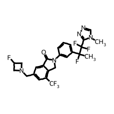 Cn1cnnc1C(F)(F)C(C)(F)c1cccc(N2Cc3c(cc(CN4CC(F)C4)cc3C(F)(F)F)C2=O)c1